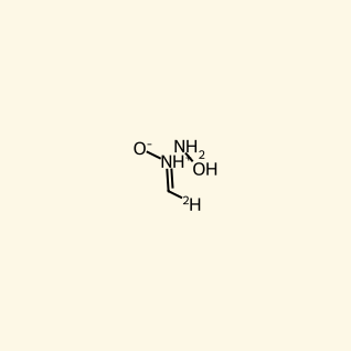 NO.[2H]C=[NH+][O-]